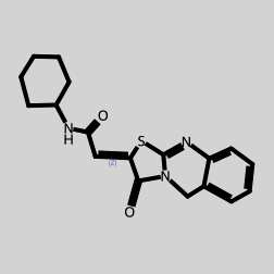 O=C(/C=c1\sc2n(c1=O)Cc1ccccc1N=2)NC1CCCCC1